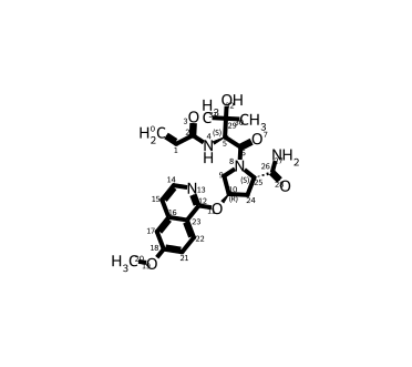 C=CC(=O)N[C@H](C(=O)N1C[C@H](Oc2nccc3cc(OC)ccc23)C[C@H]1C(N)=O)C(C)(C)O